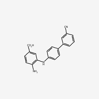 N#Cc1cccc(-c2ccc(Nc3cc(C(=O)O)ccc3N)cc2)c1